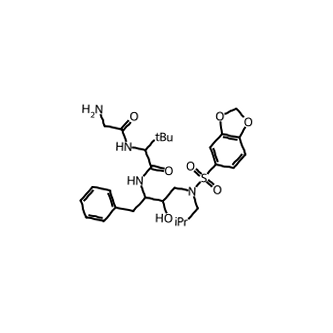 CC(C)CN(CC(O)C(Cc1ccccc1)NC(=O)C(NC(=O)CN)C(C)(C)C)S(=O)(=O)c1ccc2c(c1)OCO2